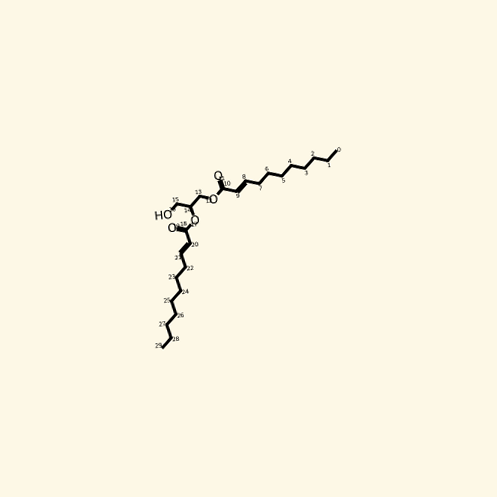 CCCCCCCCC=CC(=O)OCC(CO)OC(=O)C=CCCCCCCCC